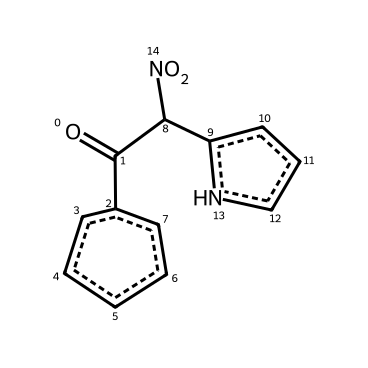 O=C(c1ccccc1)C(c1ccc[nH]1)[N+](=O)[O-]